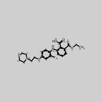 CCOC(=O)c1cccc(Nc2ccc(OCCN3CCOCC3)cc2F)c1C(=O)O